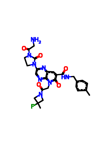 Cc1ccc(CNC(=O)c2cc3nc(N4CCN(C(=O)CN)C4=O)cnc3n(CC(=O)N3CC(C)(F)C3)c2=O)cc1